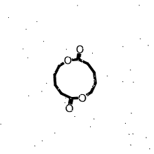 O=C1CCCCOC(=O)CCCCO1